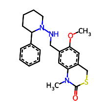 COc1cc2c(cc1CNN1CCCCC1c1ccccc1)N(C)C(=O)SC2